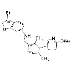 CC[C@@H]1COc2cc(NCc3ccc(C)c(-c4ccc(OC)nc4)c3C)ccc21